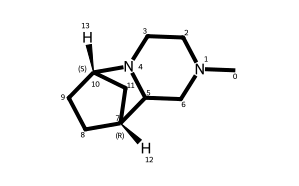 CN1CCN2C(C1)[C@@H]1CC[C@H]2C1